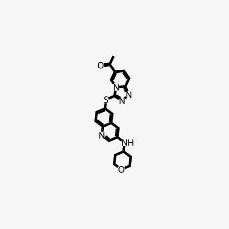 CC(=O)c1ccc2nnc(Sc3ccc4ncc(NC5CCOCC5)cc4c3)n2c1